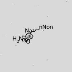 CCCCCCCCCCCCCC(=O)CC(CN)S(=O)(=O)[O-].[Na+]